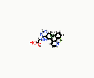 O=C(O)CNc1ncnc2ccc(-c3cccnc3-c3c(F)cccc3Cl)cc12